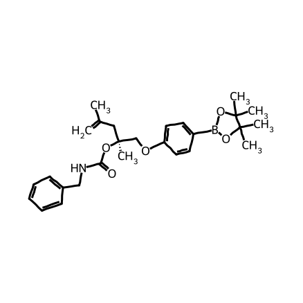 C=C(C)C[C@@](C)(COc1ccc(B2OC(C)(C)C(C)(C)O2)cc1)OC(=O)NCc1ccccc1